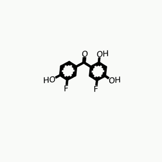 O=C(c1ccc(O)c(F)c1)c1cc(F)c(O)cc1O